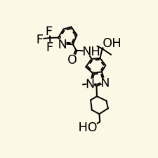 Cn1c(C2CCC(CO)CC2)nc2cc(C(C)(C)O)c(NC(=O)c3cccc(C(F)(F)F)n3)cc21